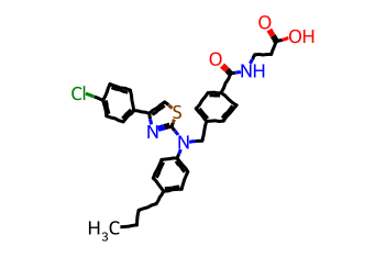 CCCCc1ccc(N(Cc2ccc(C(=O)NCCC(=O)O)cc2)c2nc(-c3ccc(Cl)cc3)cs2)cc1